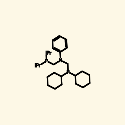 CC(C)P(CN(CP(C1CCCCC1)C1CCCCC1)c1ccccc1)C(C)C